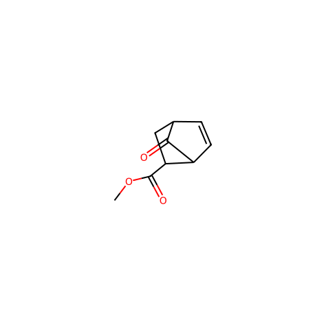 COC(=O)C1CC2C=CC1C2=O